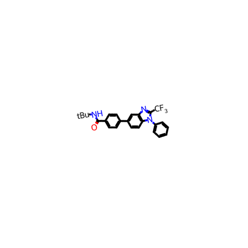 CC(C)(C)NC(=O)c1ccc(-c2ccc3c(c2)nc(C(F)(F)F)n3-c2ccccc2)cc1